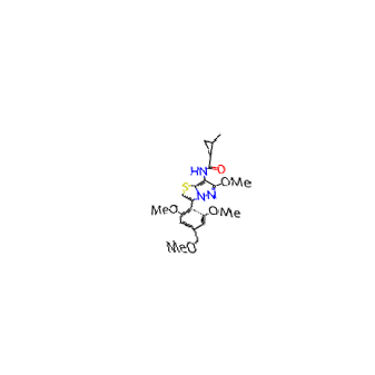 COCc1cc(OC)c(-c2csc3c(NC(=O)C4CC4C)c(OC)nn23)c(OC)c1